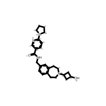 O=C(NCc1ccc2c(c1)CCN(C1CC(O)C1)CC2)c1ccc(N2CCCC2)nc1